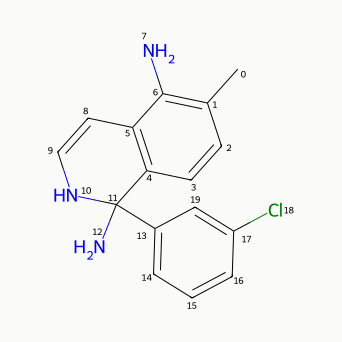 Cc1ccc2c(c1N)C=CNC2(N)c1cccc(Cl)c1